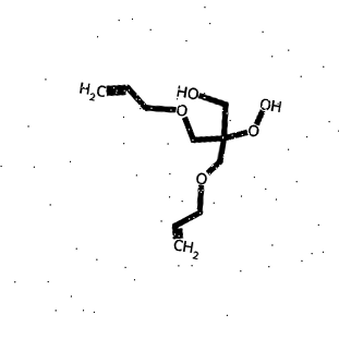 C=CCOCC(CO)(COCC=C)OO